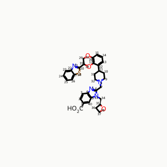 O=C(O)c1ccc2nc(CN3CCC(c4cccc5c4OC(c4nc6ccccc6s4)CO5)CC3)n(C[C@@H]3CCO3)c2c1